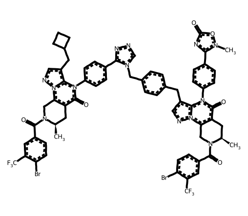 C[C@@H]1Cc2c(n3ncc(Cc4ccc(Cn5cnnc5-c5ccc(-n6c(=O)c7c(n8ncc(CC9CCC9)c68)CN(C(=O)c6ccc(Br)c(C(F)(F)F)c6)[C@H](C)C7)cc5)cc4)c3n(-c3ccc(-c4nc(=O)on4C)cc3)c2=O)CN1C(=O)c1ccc(Br)c(C(F)(F)F)c1